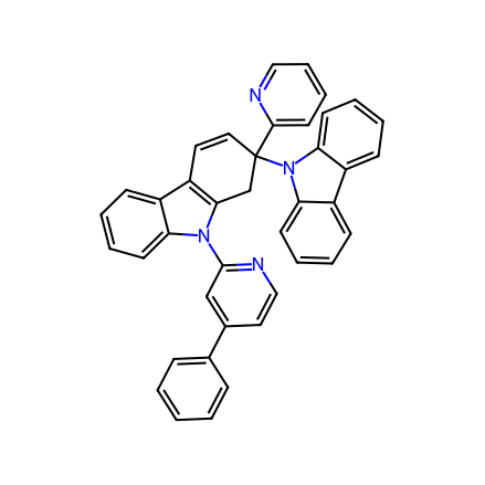 C1=CC(c2ccccn2)(n2c3ccccc3c3ccccc32)Cc2c1c1ccccc1n2-c1cc(-c2ccccc2)ccn1